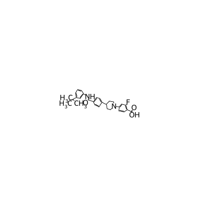 CC(C)(C)c1cccc(NC(=O)c2ccc(C3CCN(c4ccc(C(=O)O)c(F)c4)CC3)cc2)c1